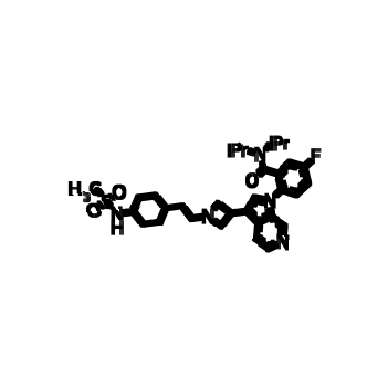 CC(C)N(C(=O)c1cc(F)ccc1-n1cc(C2CN(CCC3CCC(NS(C)(=O)=O)CC3)C2)c2ccncc21)C(C)C